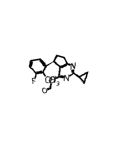 Cc1c(F)cccc1[C@H]1CCc2nc(C3CC3)nc(OC=O)c21